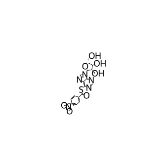 O=C(Sc1ncnc2c1ncn2[C@@H]1O[C@H](CO)[C@@H](O)[C@H]1O)c1ccc([N+](=O)[O-])cc1